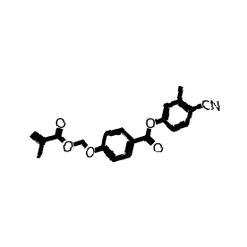 C=C(C)C(=O)OCOc1ccc(C(=O)Oc2ccc(C#N)c(C)c2)cc1